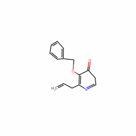 C=CCC1=C(OCc2ccccc2)C(=O)CC=N1